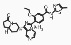 CCOc1cc(C(=O)Nc2ncc(C)s2)ccc1C1=NC([C@@H]2CC[C@H]3CCC(=O)N3C2)=C2C=NC=C[N+]12N